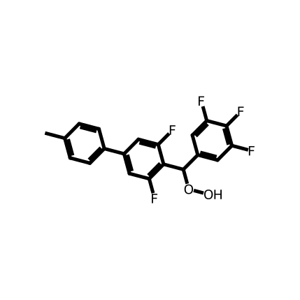 Cc1ccc(-c2cc(F)c(C(OO)c3cc(F)c(F)c(F)c3)c(F)c2)cc1